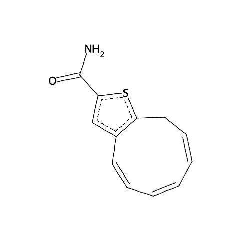 NC(=O)c1cc2c(s1)C\C=C/C=C\C=C/2